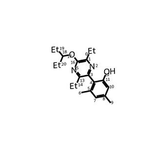 CCc1nc(-c2c(C)cc(C)cc2O)c(CC)nc1OC(CC)CC